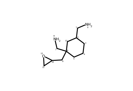 NCC1CCCC(CN)(CC2CO2)C1